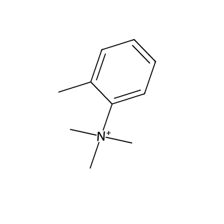 Cc1ccccc1[N+](C)(C)C